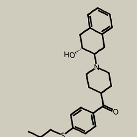 CCCSc1ccc(C(=O)C2CCN(C3Cc4ccccc4C[C@H]3O)CC2)cc1